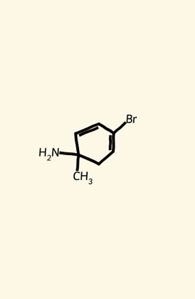 CC1(N)C=CC(Br)=CC1